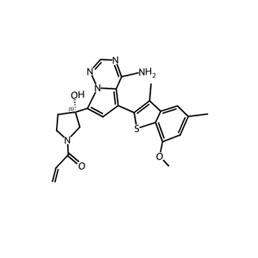 C=CC(=O)N1CC[C@@](O)(c2cc(-c3sc4c(OC)cc(C)cc4c3C)c3c(N)ncnn23)C1